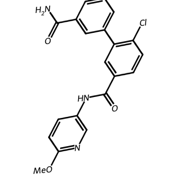 COc1ccc(NC(=O)c2ccc(Cl)c(-c3cccc(C(N)=O)c3)c2)cn1